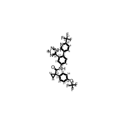 O=C(Nc1ccc(-c2ccc(C(F)(F)F)nc2)c(-c2nnn[nH]2)c1)C1(c2ccc(OC(F)(F)F)cc2)CC1